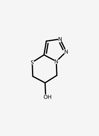 OC1CSc2cnnn2C1